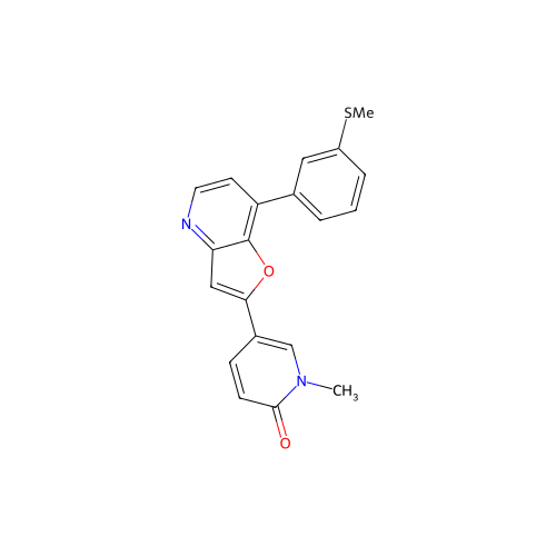 CSc1cccc(-c2ccnc3cc(-c4ccc(=O)n(C)c4)oc23)c1